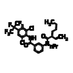 C=C/C(=C\C=C/C)C(=O)N(CCC)c1cccc(C(=O)Nc2c(Cl)cc(C(F)(C(F)(F)F)C(F)(F)F)cc2Cl)c1